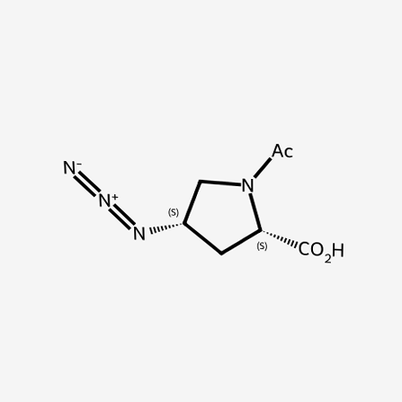 CC(=O)N1C[C@@H](N=[N+]=[N-])C[C@H]1C(=O)O